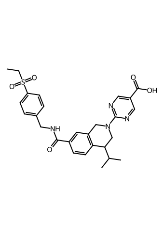 CCS(=O)(=O)c1ccc(CNC(=O)c2ccc3c(c2)CN(c2ncc(C(=O)O)cn2)CC3C(C)C)cc1